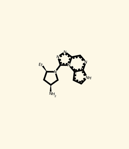 CC[C@@H]1C[C@H](N)CN1c1nnc2cnc3[nH]ccc3n12